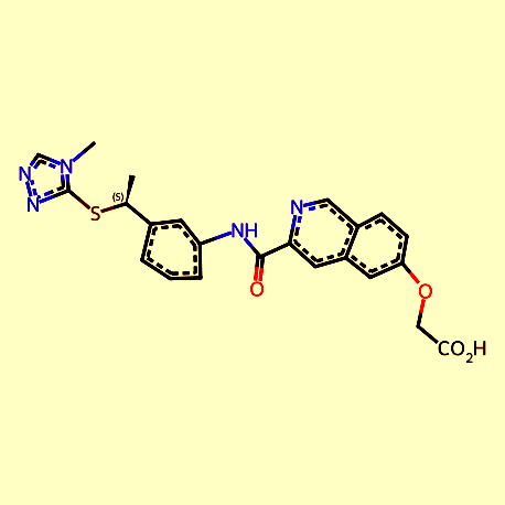 C[C@H](Sc1nncn1C)c1cccc(NC(=O)c2cc3cc(OCC(=O)O)ccc3cn2)c1